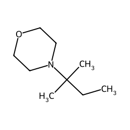 CCC(C)(C)N1CCOCC1